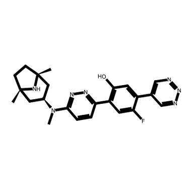 CN(c1ccc(-c2cc(F)c(-c3cnnnc3)cc2O)nn1)[C@H]1C[C@]2(C)CC[C@](C)(C1)N2